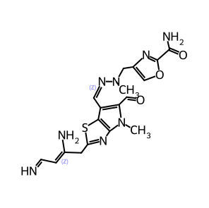 CN(Cc1coc(C(N)=O)n1)/N=C\c1c(C=O)n(C)c2nc(C/C(N)=C/C=N)sc12